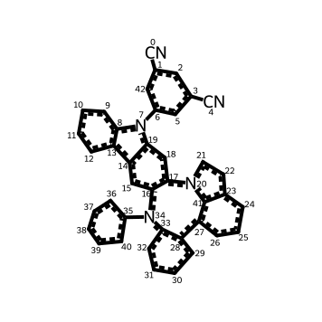 N#Cc1cc(C#N)cc(-n2c3ccccc3c3cc4c(cc32)n2ccc3cccc(c5ccccc5n4-c4ccccc4)c32)c1